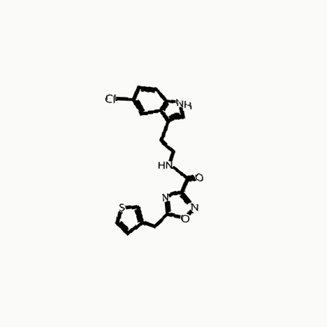 O=C(NCCc1c[nH]c2ccc(Cl)cc12)c1noc(Cc2ccsc2)n1